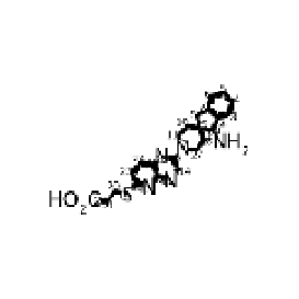 N[C@@H]1c2ccccc2CC12CCN(c1cnc3nc(SCCC(=O)O)ccc3n1)CC2